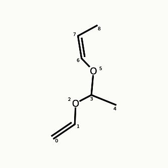 C=COC(C)O/C=C\C